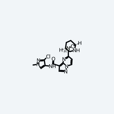 Cn1cc(NC(=O)c2cnn3ccc(N4C[C@H]5CC[C@@H]4CN5)nc23)c(Cl)n1